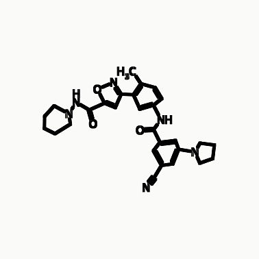 Cc1ccc(NC(=O)c2cc(C#N)cc(N3CCCC3)c2)cc1-c1cc(C(=O)NN2CCCCC2)on1